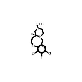 O=C(O)N1CCN2Cc3cc(Cl)c(I)c(Cl)c3OCC[C@@H]2C1